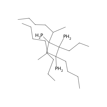 CCCCC(C)C(P)(CCCC)C(P)(CCC)C(P)(CCCC)C(C)CCCC